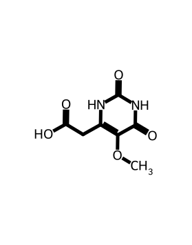 COc1c(CC(=O)O)[nH]c(=O)[nH]c1=O